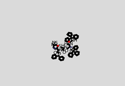 Cc1snnc1/C=C\C1=C(C(=O)OC(c2ccccc2)c2ccccc2)N2C(=O)C(NC(=O)/C(=N\OC(c3ccccc3)(c3ccccc3)c3ccccc3)c3csc(NC(c4ccccc4)(c4ccccc4)c4ccccc4)n3)[C@H]2SC1